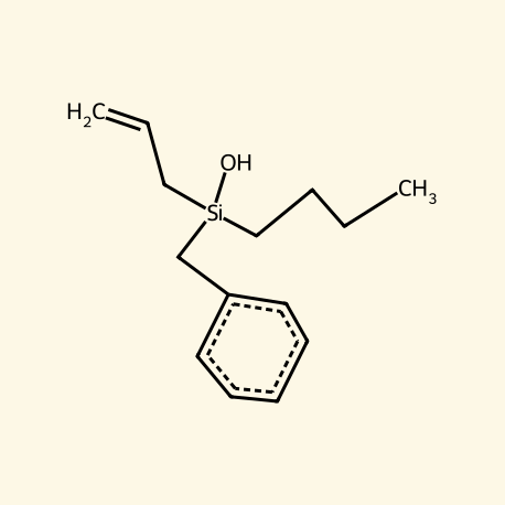 C=CC[Si](O)(CCCC)Cc1ccccc1